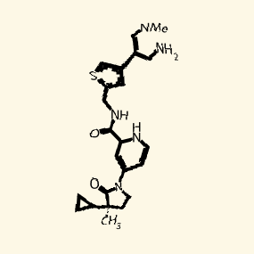 CN/C=C(\CN)c1csc(CNC(=O)C2C=C(N3CC[C@@](C)(C4CC4)C3=O)C=CN2)c1